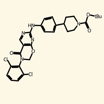 CC(C)(C)OC(=O)N1CCC(c2ccc(Nc3ncc4c(n3)OCN(c3c(Cl)cccc3Cl)C4=O)cc2)CC1